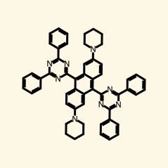 c1ccc(-c2nc(-c3ccccc3)nc(-c3c4ccc(N5CCCCC5)cc4c(-c4nc(-c5ccccc5)nc(-c5ccccc5)n4)c4ccc(N5CCCCC5)cc34)n2)cc1